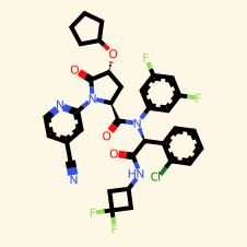 N#Cc1ccnc(N2C(=O)[C@H](OC3CCCC3)C[C@H]2C(=O)N(c2cc(F)cc(F)c2)[C@H](C(=O)NC2CC(F)(F)C2)c2ccccc2Cl)c1